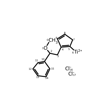 COC(CC1=[C]([Ti+2])CC=C1)c1ccccc1.[Cl-].[Cl-]